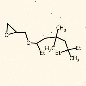 CCC(CC(C)(C)CC(C)(CC)CC)OCC1CO1